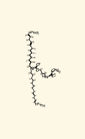 CCCCCC=CCC=CCCCCCCCCN(CCCCCCCCC=CCC=CCCCCC)C(=O)OCCCNC(=O)OCCCC